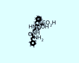 N[C@@H](Cc1ccccc1)C(=O)NCC(=O)N[C@@H](Cc1ccccc1)C(=O)NC(O)C(=O)O